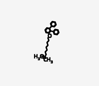 CN(C)CCCCCCCCOc1cccc(-c2ccccc2)c1-c1ccccc1